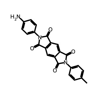 Cc1ccc(-n2c(=O)c3cc4c(=O)n(-c5ccc(N)cc5)c(=O)c4cc3c2=O)cc1